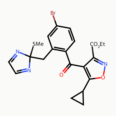 CCOC(=O)c1noc(C2CC2)c1C(=O)c1ccc(Br)cc1CC1(SC)N=CC=N1